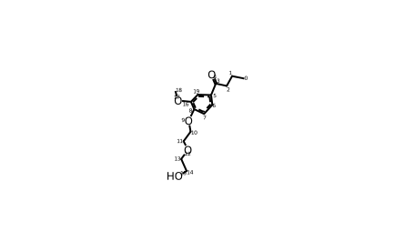 CCCC(=O)c1ccc(OCCOCCO)c(OC)c1